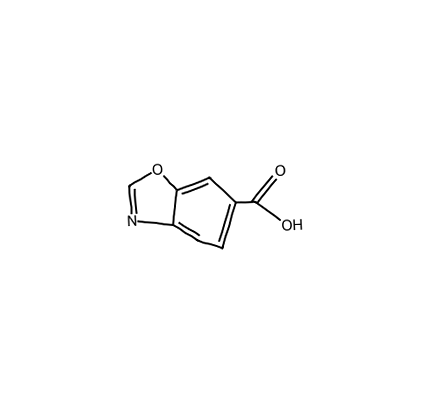 O=C(O)c1ccc2ncoc2c1